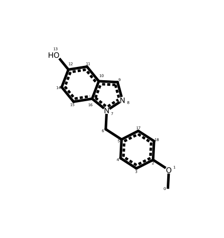 COc1ccc(Cn2ncc3cc(O)ccc32)cc1